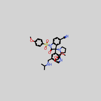 COc1ccc(S(=O)(=O)N2C(=O)C(c3cc(CNC(C)C)ccc3OC)(N3CCCC3c3ncco3)c3cc(C#N)ccc32)cc1